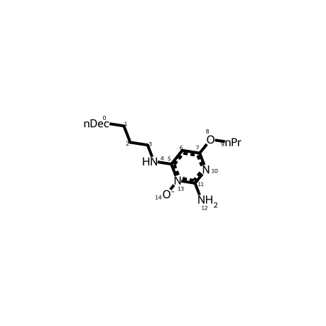 CCCCCCCCCCCCCNc1cc(OCCC)nc(N)[n+]1[O-]